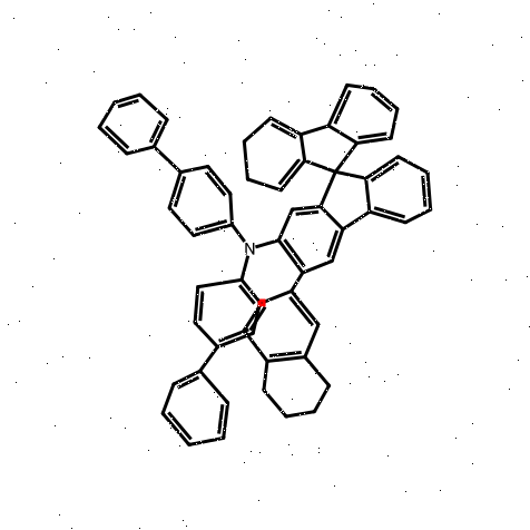 C1=C2C(=CCC1)C1(c3ccccc32)c2ccccc2-c2cc(-c3ccc4c(c3)CCCC4)c(N(c3ccc(-c4ccccc4)cc3)c3ccc(-c4ccccc4)cc3)cc21